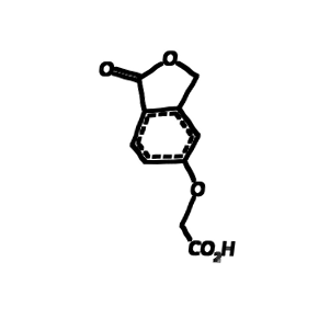 O=C(O)COc1ccc2c(c1)COC2=O